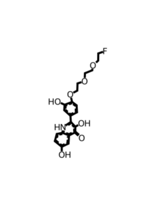 O=c1c(O)c(-c2ccc(OCCOCCOCCF)c(O)c2)[nH]c2ccc(O)cc12